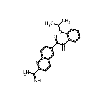 CC(C)Oc1ccccc1NC(=O)c1ccc2nc(C(=N)N)ccc2c1